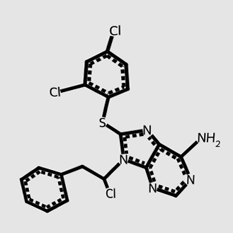 Nc1ncnc2c1nc(Sc1ccc(Cl)cc1Cl)n2C(Cl)Cc1ccccc1